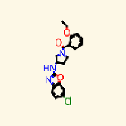 CCOc1ccccc1C(=O)N1CCC(Nc2nc3ccc(Cl)cc3o2)C1